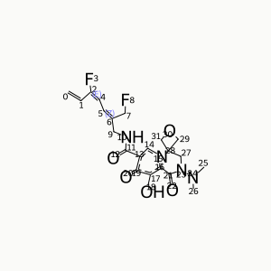 C=C/C(F)=C\C=C(/CF)CNC(=O)c1cn2c(c(O)c1=O)C(=O)N(N(C)C)CC21COC1